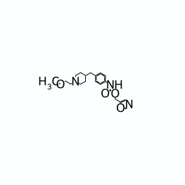 COCCN1CCC(Cc2ccc(NC(=O)OCc3cnco3)cc2)CC1